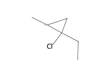 CCC1(Cl)C[C]1C